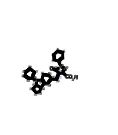 O=C(O)C1=NN(c2ccccc2)C(=O)/C1=C\c1ccc2c(c1)C1CCCC1N2c1ccccc1